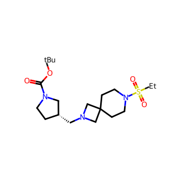 CCS(=O)(=O)N1CCC2(CC1)CN(C[C@@H]1CCN(C(=O)OC(C)(C)C)C1)C2